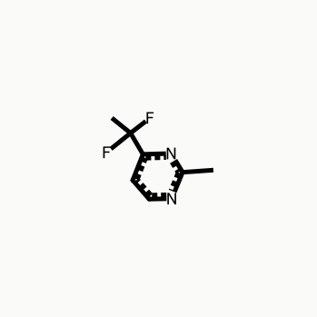 Cc1nccc(C(C)(F)F)n1